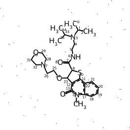 CC(C)N(CCNC(=O)C1Sc2c(c(=O)n(C)c3ccccc23)C1OCCN1CCOCC1)C(C)C